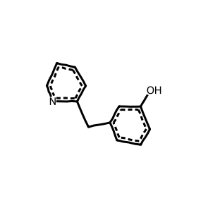 Oc1cccc(Cc2ccccn2)c1